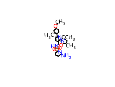 CCOc1ccc(-c2ccc(C(=O)NS(=O)(=O)c3cccc(N)n3)c(N3CC(C)CC3(C)C)n2)c(C)c1